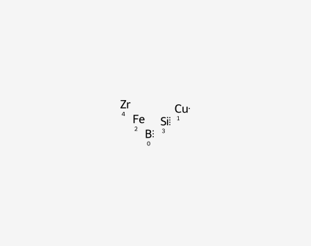 [B].[Cu].[Fe].[Si].[Zr]